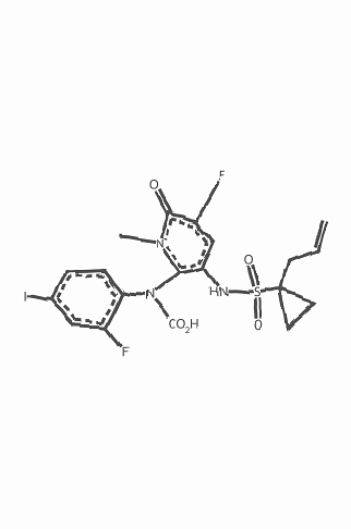 C=CCC1(S(=O)(=O)Nc2cc(F)c(=O)n(C)c2N(C(=O)O)c2ccc(I)cc2F)CC1